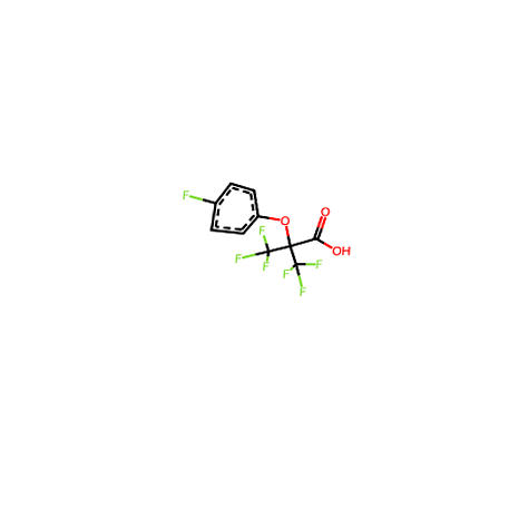 O=C(O)C(Oc1ccc(F)cc1)(C(F)(F)F)C(F)(F)F